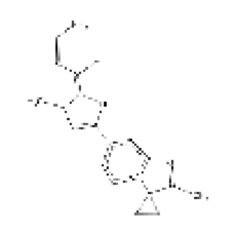 CC(=O)C1(c2ccc(C3=CC(C)/C(=C(Cl)\C=C/N)O3)cc2)CC1